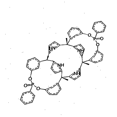 C[C@]12c3cccc(c3)OP(=O)(c3ccccc3)Oc3cccc(c3)[C@](C)(c3ccc1[nH]3)c1ccc([nH]1)[C@@]1(C)c3cccc(c3)OP(=O)(c3ccccc3)Oc3cccc(c3)[C@](C)(c3ccc1[nH]3)c1ccc2[nH]1